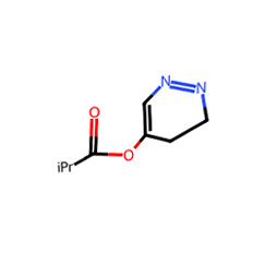 CC(C)C(=O)OC1=CN=NCC1